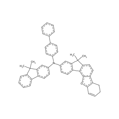 CC1(C)c2ccccc2-c2ccc(N(c3ccc(-c4ccccc4)cc3)c3ccc4c(c3)C(C)(C)c3ccc5c6c(oc5c3-4)C=CCC6)cc21